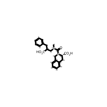 CN(CC(Cc1ccccc1)C(=O)O)C(=O)N1Cc2ccccc2C[C@H]1C(=O)O